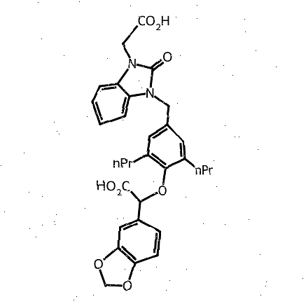 CCCc1cc(Cn2c(=O)n(CC(=O)O)c3ccccc32)cc(CCC)c1OC(C(=O)O)c1ccc2c(c1)OCO2